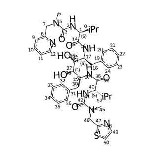 CC(C)[C@H](NC(=O)N(C)Cc1ccccn1)C(=O)N[C@@H](Cc1ccccc1)[C@H](O)[C@H](O)[C@H](Cc1ccccc1)NC(=O)[C@@H](NC(=O)N(C)Cc1nccs1)C(C)C